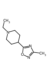 CCN1CCC(c2nc(C)no2)CC1